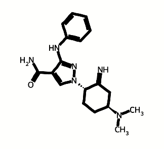 CN(C)[C@H]1CC[C@H](n2cc(C(N)=O)c(Nc3ccccc3)n2)C(=N)C1